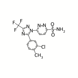 Cc1ccc(-c2nc(C(F)(F)F)nn2-c2ccc(S(N)(=O)=O)nn2)cc1Cl